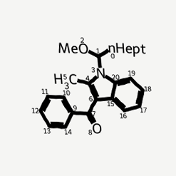 CCCCCCCC(OC)n1c(C)c(C(=O)c2ccccc2)c2ccccc21